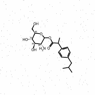 CC(C)Cc1ccc(C(C)C(=O)OC2O[C@H](CO)[C@@H](O)[C@H](O)[C@H]2N)cc1